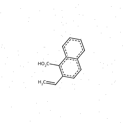 C=Cc1ccc2ccccc2c1C(=O)O